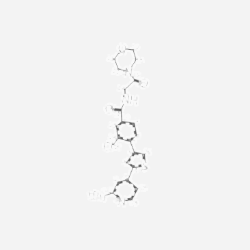 CC(C)(C)c1cc(-c2cc(-c3ccc(C(=O)NCC(=O)N4CCOCC4)cc3Cl)cs2)ccn1